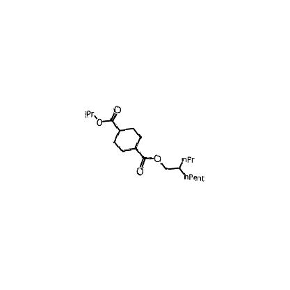 CCCCCC(CCC)COC(=O)C1CCC(C(=O)OC(C)C)CC1